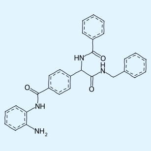 Nc1ccccc1NC(=O)c1ccc(C(NC(=O)c2ccccc2)C(=O)NCc2ccccc2)cc1